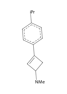 CNC1C=C(c2ccc(C(C)C)cc2)C1